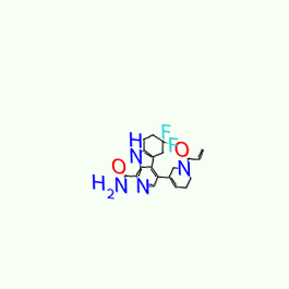 C=CC(=O)N1CCC=C(c2cnc(C(N)=O)c3[nH]c4c(c23)CC(F)(F)CC4)C1